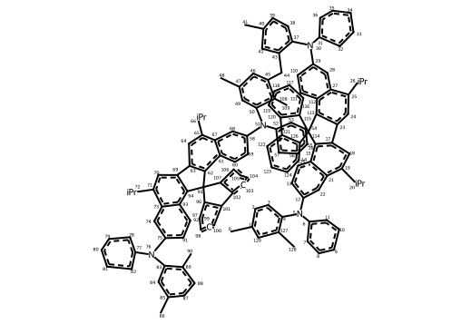 Cc1ccc(N(c2ccccc2)c2ccc3c4c(cc(C(C)C)c3c2)-c2cc(C(C)C)c3cc(N(c5ccccc5)c5ccc(C)cc5Cc5cc(C)cc(N(c6ccccc6)c6ccc7c8c(cc(C(C)C)c7c6)-c6cc(C(C)C)c7cc(N(c9ccccc9)c9cc(C)ccc9C)ccc7c6C86c7ccccc7-c7ccccc76)c5C)ccc3c2C42c3ccccc3-c3ccccc32)c(C)c1